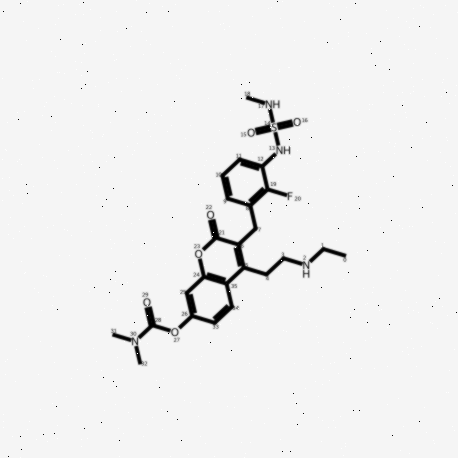 CCNCCc1c(Cc2cccc(NS(=O)(=O)NC)c2F)c(=O)oc2cc(OC(=O)N(C)C)ccc12